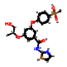 C[C@@H](CO)Oc1cc(Oc2ccc(S(C)(=O)=O)cc2)cc(C(=O)Nc2nccs2)c1